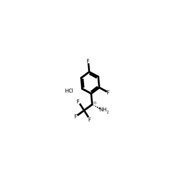 Cl.N[C@@H](c1ccc(F)cc1F)C(F)(F)F